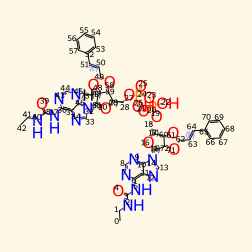 CCNC(=O)Nc1ncnc2c1ncn2[C@@H]1O[C@H](COP(=O)(O)OP(=O)(O)OC[C@H]2O[C@@H](n3cnc4c(NC(=O)NCC)ncnc43)[C@H]3OC(/C=C/c4ccccc4)OC23)C2OC(/C=C/c3ccccc3)OC21